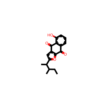 CCC(C)C(C)c1cc2c(o1)C(=O)c1cccc(O)c1C2=O